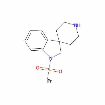 CC(C)S(=O)(=O)N1CC2(CCNCC2)c2ccccc21